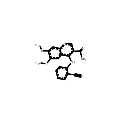 COc1cc2ncc(C(N)=O)c(Nc3ccccc3C#N)c2cc1OC